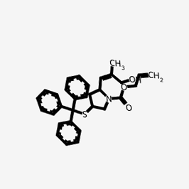 C=CCOC(=O)N1CC(SC(c2ccccc2)(c2ccccc2)c2ccccc2)CC1C=C(C)CO